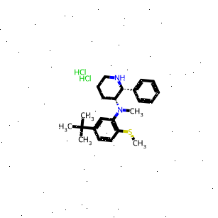 CSc1ccc(C(C)(C)C)cc1N(C)[C@@H]1CCCN[C@@H]1c1ccccc1.Cl.Cl